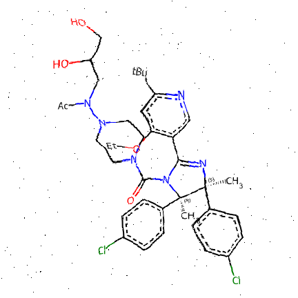 CCOc1cc(C(C)(C)C)ncc1C1=N[C@@](C)(c2ccc(Cl)cc2)[C@@](C)(c2ccc(Cl)cc2)N1C(=O)N1CCN(N(CC(O)CO)C(C)=O)CC1